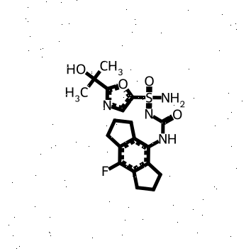 CC(C)(O)c1ncc(S(N)(=O)=NC(=O)Nc2c3c(c(F)c4c2CCC4)CCC3)o1